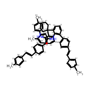 Cc1ccc(C=Cc2ccc(-c3cccc(C4(c5cccc(-c6ccc(C=Cc7ccc(C)cc7)cc6)c5Nc5ccc(C)cc5)CCCCC4)c3Nc3ccc(C)cc3)cc2)cc1